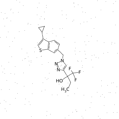 CCC(O)(c1cn(Cc2ccc3c(C4CC4)csc3c2)nn1)C(F)(F)F